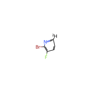 [2H]c1ccc(F)c(Br)n1